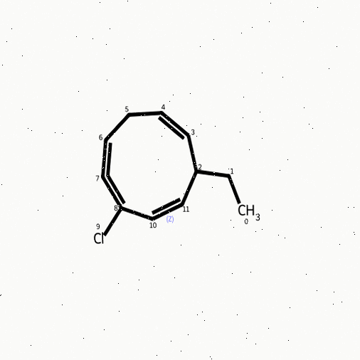 CCC1C=CCC=C=C(Cl)/C=C\1